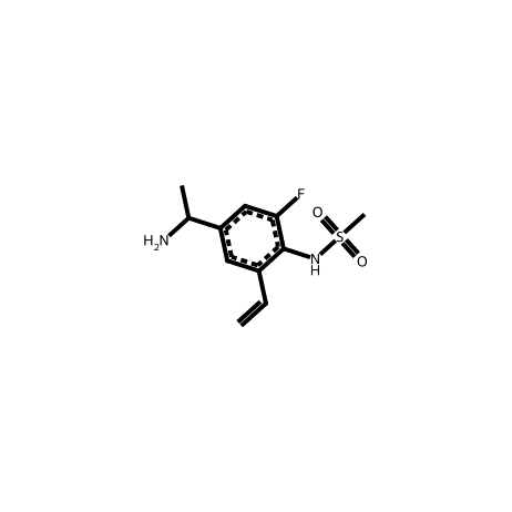 C=Cc1cc(C(C)N)cc(F)c1NS(C)(=O)=O